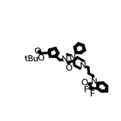 CC(C)(C)OC(=O)c1cccc(CN2CN(c3ccccc3)C3(CCN(CCCN4C(=O)C(F)(F)c5ccccc54)CC3)C2=O)c1